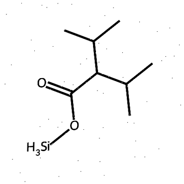 CC(C)C(C(=O)O[SiH3])C(C)C